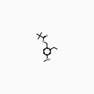 CCc1cc(NC)ccc1COC(=O)C(C)(C)C